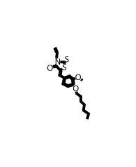 C=CCN1C(=O)C(=Cc2ccc(OCCCCCCC)c(OC)c2)SC1=S